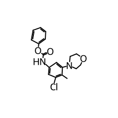 Cc1c(Cl)cc(NC(=O)Oc2ccccc2)cc1N1CCOCC1